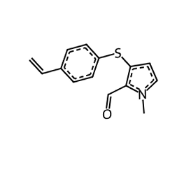 C=Cc1ccc(Sc2ccn(C)c2C=O)cc1